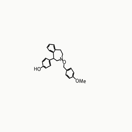 COc1ccc(CON2CCc3ccccc3C(c3ccc(O)cc3)C2)cc1